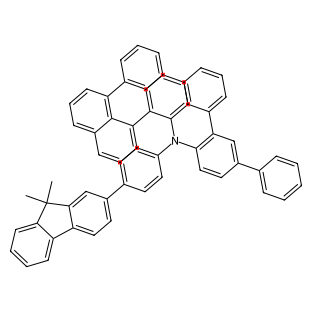 CC1(C)c2ccccc2-c2ccc(-c3ccc(N(c4ccc(-c5ccccc5)cc4-c4ccccc4)c4ccccc4-c4cccc5cccc(-c6ccccc6)c45)cc3)cc21